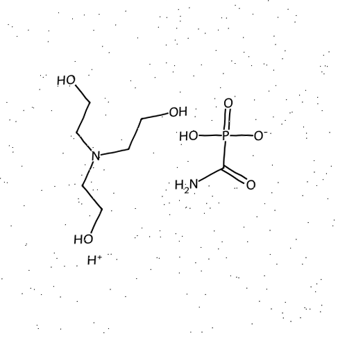 NC(=O)P(=O)([O-])O.OCCN(CCO)CCO.[H+]